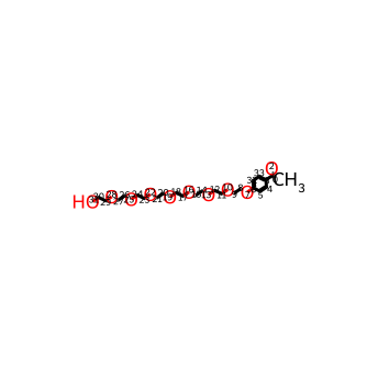 CC(=O)c1ccc(OCCOCCOCCOCCOCCOCCOCCOCCO)cc1